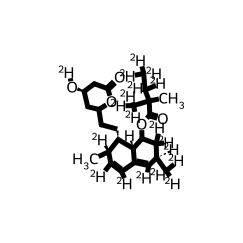 [2H]O[C@H]1CC(=O)OC(CC[C@@H]2[C@@H]3C(=C([2H])[C@]([2H])(C([2H])([2H])[2H])C([2H])([2H])C3OC(=O)C(C)(C([2H])([2H])[2H])C([2H])([2H])C([2H])([2H])[2H])C([2H])=C([2H])[C@]2([2H])C)C1